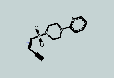 C#C/C=C\S(=O)(=O)N1CCN(c2ccccn2)CC1